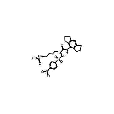 O=C(O)NCCCC[C@H](NS(=O)(=O)c1ccc([N+](=O)[O-])cc1)C(=O)Nc1c2c(cc3c1CCC3)CCC2